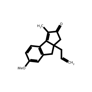 C=CCC12CC(=O)C(C)=C1c1ccc(OC)cc1C2